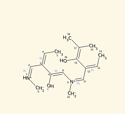 [CH2-]\[NH+]=C/C(=C/C)C(/O)=C/[N+]([CH2-])=C\C(=C\C)C(O)=C(C)C